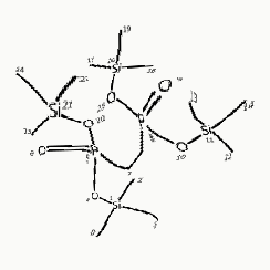 C[Si](C)(C)OP(=O)(CP(=O)(O[Si](C)(C)C)O[Si](C)(C)C)O[Si](C)(C)C